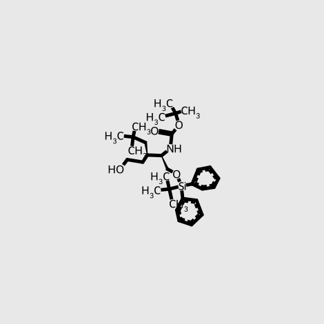 CC(C)(C)C[C@H](CCO)[C@H](CO[Si](c1ccccc1)(c1ccccc1)C(C)(C)C)NC(=O)OC(C)(C)C